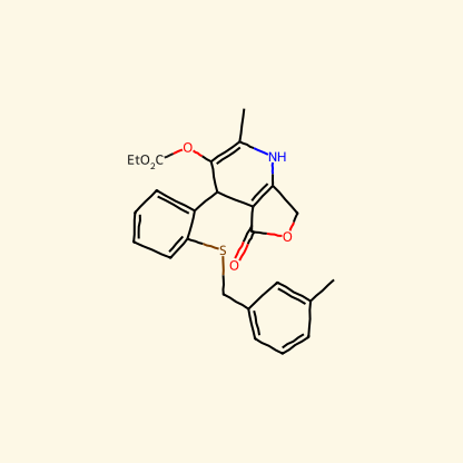 CCOC(=O)OC1=C(C)NC2=C(C(=O)OC2)C1c1ccccc1SCc1cccc(C)c1